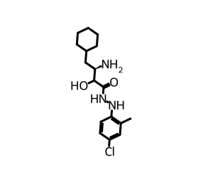 Cc1cc(Cl)ccc1NNC(=O)C(O)[C@H](N)CC1CCCCC1